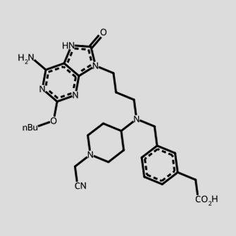 CCCCOc1nc(N)c2[nH]c(=O)n(CCCN(Cc3cccc(CC(=O)O)c3)C3CCN(CC#N)CC3)c2n1